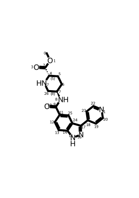 COC(=O)[C@@H]1CC[C@@H](NC(=O)c2ccc3[nH]nc(-c4ccncc4)c3c2)CN1